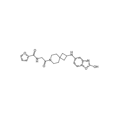 O=C(NCC(=O)N1CCC2(CC1)CC(Nc1ccc3oc(O)nc3c1)C2)c1ccco1